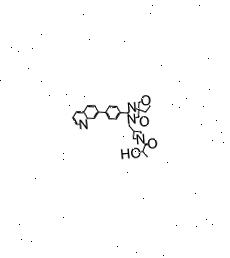 CC(O)C(=O)N1CC(CN2C(=O)C3(CCOC3)N=C2c2ccc(-c3ccc4cccnc4c3)cc2)C1